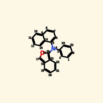 c1ccc(N(c2cccc3ccccc23)c2occ3ccccc23)cc1